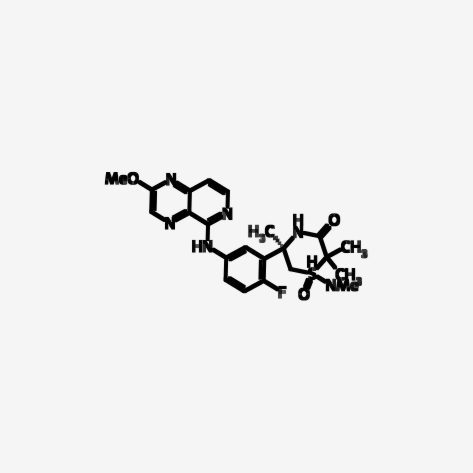 CN[SH]1(=O)C[C@@](C)(c2cc(Nc3nccc4nc(OC)cnc34)ccc2F)NC(=O)C1(C)C